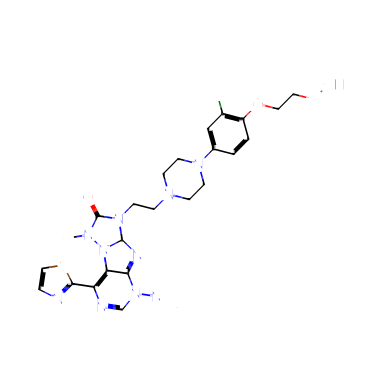 COCCOc1ccc(N2CCN(CCN3C(=O)N(C)N4C5=C(c6nccs6)N=CN(N)C5=NC34)CC2)cc1F